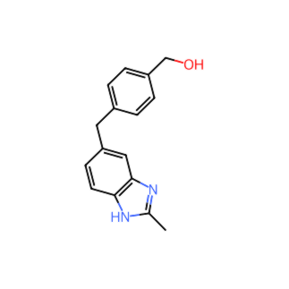 Cc1nc2cc(Cc3ccc(CO)cc3)ccc2[nH]1